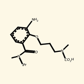 CC(C)N(C)C(=O)c1cccc(N)c1OCCCN(C)C(=O)O